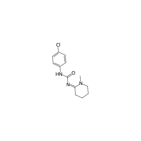 CN1CCCCC1=NC(=O)Nc1ccc(Cl)cc1